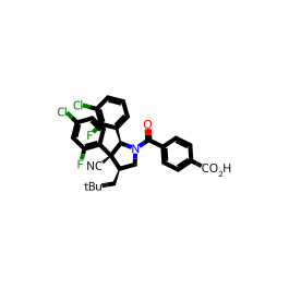 CC(C)(C)C[C@@H]1CN(C(=O)c2ccc(C(=O)O)cc2)[C@H](c2cccc(Cl)c2F)[C@@]1(C#N)c1ccc(Cl)cc1F